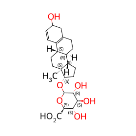 C[C@]12CC[C@@H]3C4=C(CC[C@H]3[C@@H]1CC[C@@H]2OC1O[C@H](C(=O)O)[C@@H](O)[C@H](O)[C@H]1O)CC(O)C=C4